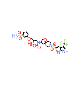 CNS(=O)(=O)c1cccc(OCC(O)CN(C(=O)O)C2COC3(CCN(S(=O)(=O)c4cnc5[nH]cc(C(F)(F)F)c5c4)CC3)C2)c1